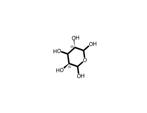 OC1OC(O)[C@@H](O)C(O)[C@@H]1O